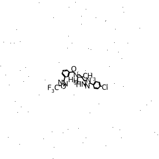 CC(C)(CNC(=O)c1cccc(-c2noc(C(F)(F)F)n2)c1)c1nc(-c2ccc(Cl)cc2)n[nH]1